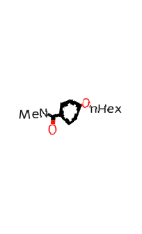 CCCCCCOc1ccc(C(=O)NC)cc1